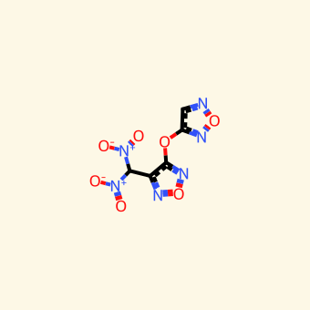 O=[N+]([O-])C(c1nonc1Oc1cnon1)[N+](=O)[O-]